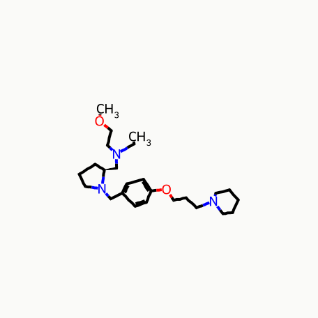 CCN(CCOC)C[C@@H]1CCCN1Cc1ccc(OCCCN2CCCCC2)cc1